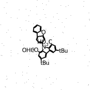 CC(C)(C)c1cc(OC=O)c2c(c1)c1cc(C(C)(C)C)cc(C(=O)O)c1n2-c1ccc2c(c1)oc1ccccc12